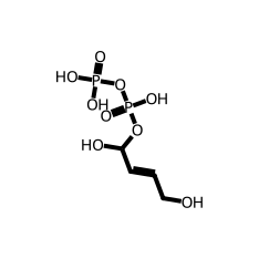 O=P(O)(O)OP(=O)(O)OC(O)C=CCO